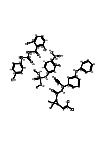 CC1(C)C(C=C(Cl)Cl)C1C(=O)OC(C#N)c1cccc(Oc2ccccc2)c1.COP(=S)(OC)Oc1ccc([N+](=O)[O-])c(C)c1.O=C(NC(=O)c1c(F)cccc1F)Nc1ccc(Cl)cc1